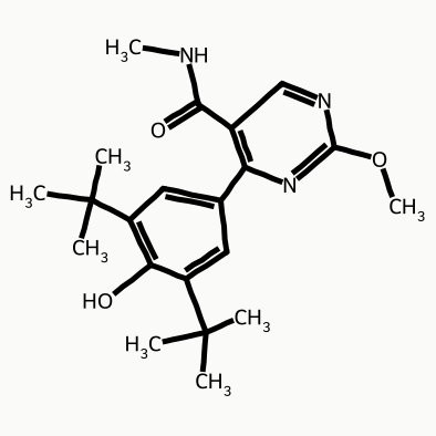 CNC(=O)c1cnc(OC)nc1-c1cc(C(C)(C)C)c(O)c(C(C)(C)C)c1